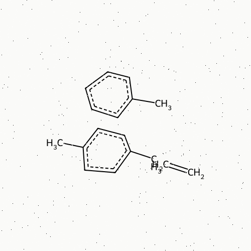 C=C.Cc1ccc(C)cc1.Cc1ccccc1